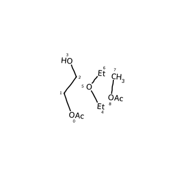 CC(=O)OCCO.CCOCC.COC(C)=O